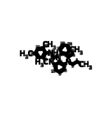 CCCN(CCC)c1cccc2nc(Nc3c(C)cc(C)cc3C)n(-c3ccccc3)c12